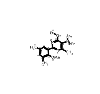 CCCN(CCC)c1c(C)nc(-c2cc(C)cc(C)c2OC)nc1OCC